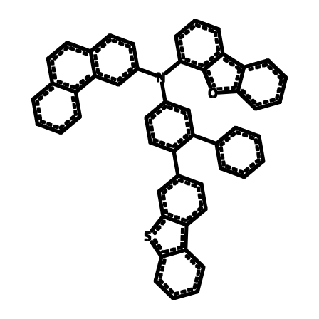 c1ccc(-c2cc(N(c3ccc4ccc5ccccc5c4c3)c3cccc4c3oc3ccccc34)ccc2-c2ccc3c(c2)sc2ccccc23)cc1